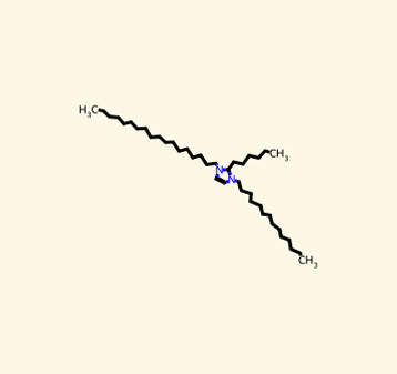 CCCCCCCCCCCCCCCCCCN1C=CN(CCCCCCCCCCCCCC)C1CCCCCC